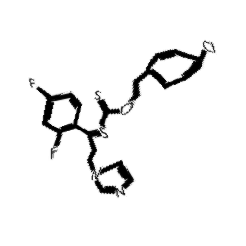 Fc1ccc(C(Cn2ccnc2)SC(=S)OCc2ccc(Cl)cc2)c(F)c1